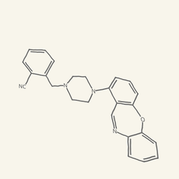 N#Cc1ccccc1CN1CCN(c2cccc3c2C=Nc2ccccc2O3)CC1